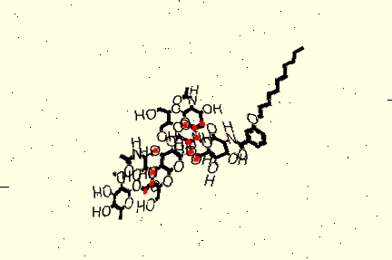 CCCCCCCCCCCOc1cccc(C(=O)N[C@@H]2C(O[C@H]3C(O)C(NC(C)=O)[C@H](OC(CO)C(CO)O[C@@H](O[C@H]4C(O)C(NC(C)=O)C(OC(CO)C(CO[C@@H]5OC(C)C(O)[C@H](O)[C@H]5OC)OC(O)[C@H](C)NC(C)=O)O[C@H]4CO)[C@H](C)NC(C)=O)O[C@H]3CO)OC(CO)[C@@H](O)[C@@H]2O)c1